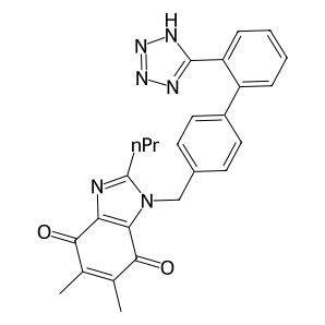 CCCc1nc2c(n1Cc1ccc(-c3ccccc3-c3nnn[nH]3)cc1)C(=O)C(C)=C(C)C2=O